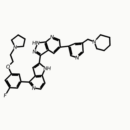 Fc1cc(OCCN2CCCC2)cc(-c2nccc3[nH]c(-c4n[nH]c5ncc(-c6cncc(CN7CCCCC7)c6)cc45)cc23)c1